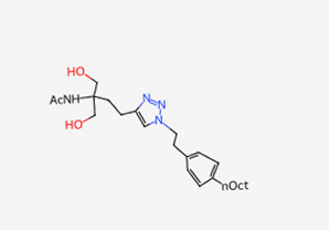 CCCCCCCCc1ccc(CCn2cc(CCC(CO)(CO)NC(C)=O)nn2)cc1